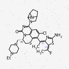 CCN1CCN(C[C@H]2CSc3c(/C(C)=c4\nc(N)s\c4=C(\C)F)c(Cl)cc4c(N5CC6CCC(C5)N6)nc(=O)n2c34)CC1